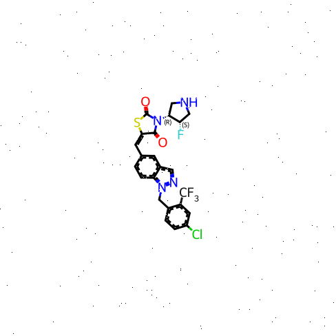 O=C1SC(=Cc2ccc3c(cnn3Cc3ccc(Cl)cc3C(F)(F)F)c2)C(=O)N1[C@@H]1CNC[C@@H]1F